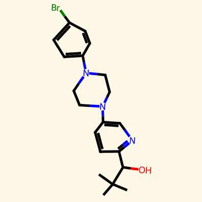 CC(C)(C)C(O)c1ccc(N2CCN(c3ccc(Br)cc3)CC2)cn1